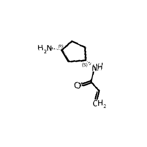 C=CC(=O)N[C@H]1CC[C@@H](N)C1